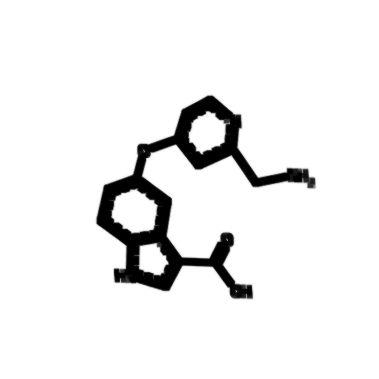 NCc1cc(Oc2ccc3[nH]cc(C(=O)O)c3c2)ccn1